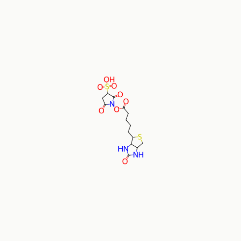 O=C1NC2CSC(CCCCC(=O)ON3C(=O)CC(S(=O)(=O)O)C3=O)C2N1